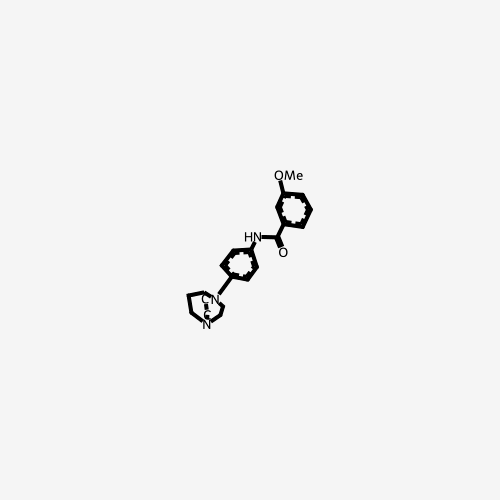 COc1cccc(C(=O)Nc2ccc(N3CCN4CCC3CC4)cc2)c1